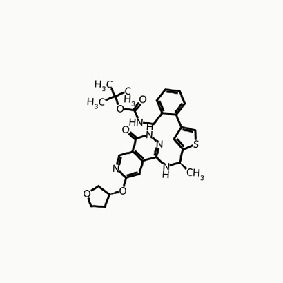 C[C@@H](Nc1n[nH]c(=O)c2cnc(O[C@H]3CCOC3)cc12)c1cc(-c2ccccc2CNC(=O)OC(C)(C)C)cs1